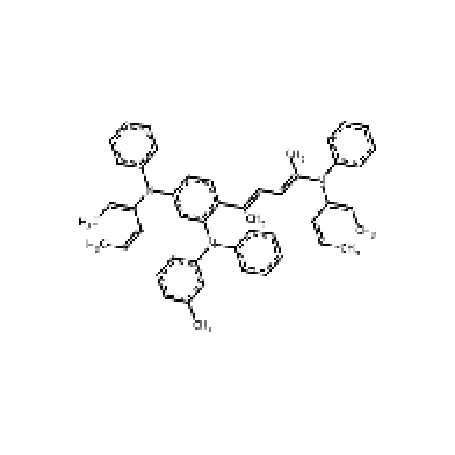 C/C=C\C(=C/C)N(/C(C)=C/C=C(\C)c1ccc(N(C(/C=C\C)=C/C)c2ccccc2)cc1N(c1ccccc1)c1cccc(C)c1)c1ccccc1